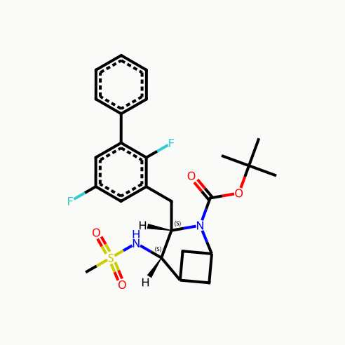 CC(C)(C)OC(=O)N1C2CC(C2)[C@H](NS(C)(=O)=O)[C@@H]1Cc1cc(F)cc(-c2ccccc2)c1F